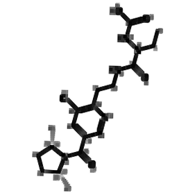 CCN(NC(=O)O)C(=O)NCCc1ncc(C(=O)N2[C@H](C)CC[C@@H]2C)cc1Cl